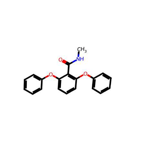 CNC(=O)c1c(Oc2ccccc2)cccc1Oc1ccccc1